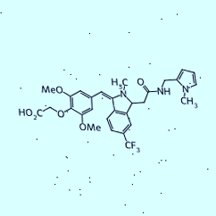 COc1cc(/C=C2\c3ccc(C(F)(F)F)cc3C(CC(=O)NCc3cccn3C)N2C)cc(OC)c1OCC(=O)O